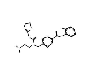 CN(C)CCN(Cc1ccc(C(=O)Nc2ccccc2N)nc1)C(=O)NC1=NCCS1